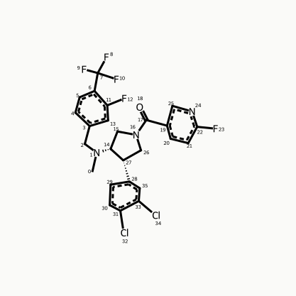 CN(Cc1ccc(C(F)(F)F)c(F)c1)[C@@H]1CN(C(=O)c2ccc(F)nc2)C[C@@H]1c1ccc(Cl)c(Cl)c1